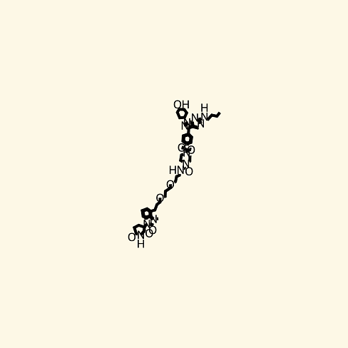 CCCCNc1ncc2c(-c3ccc(S(=O)(=O)N4CCN(C(=O)NCCCOCCCOCCCc5cccc6c5n(C)c(=O)n6C5CCC(=O)NC5=O)CC4)cc3)nn([C@H]3CC[C@H](O)CC3)c2n1